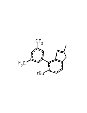 CC1=Cc2c(ccc(C(C)(C)C)c2-c2cc(C(F)(F)F)cc(C(F)(F)F)c2)[CH]1